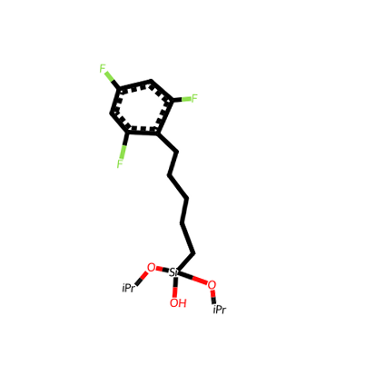 CC(C)O[Si](O)(CCCCCc1c(F)cc(F)cc1F)OC(C)C